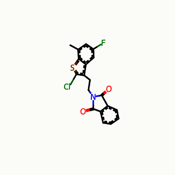 Cc1cc(F)cc2c(CCN3C(=O)c4ccccc4C3=O)c(Cl)sc12